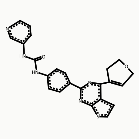 O=C(Nc1ccc(-c2nc(C3=CCOCC3)c3ccsc3n2)cc1)Nc1cccnc1